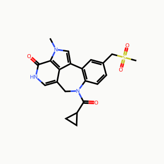 Cn1cc2c3c(c[nH]c(=O)c31)CN(C(=O)C1CC1)c1ccc(CS(C)(=O)=O)cc1-2